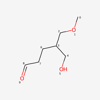 COCC(CO)CCC=O